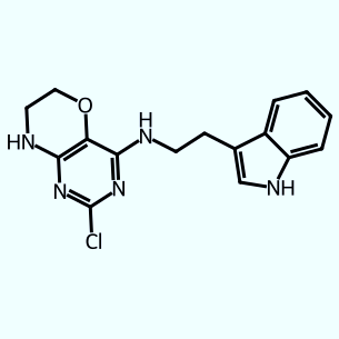 Clc1nc2c(c(NCCc3c[nH]c4ccccc34)n1)OCCN2